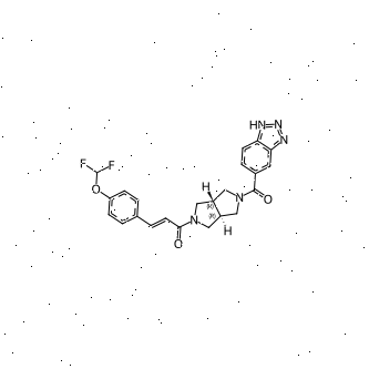 O=C(C=Cc1ccc(OC(F)F)cc1)N1C[C@@H]2CN(C(=O)c3ccc4[nH]nnc4c3)C[C@H]2C1